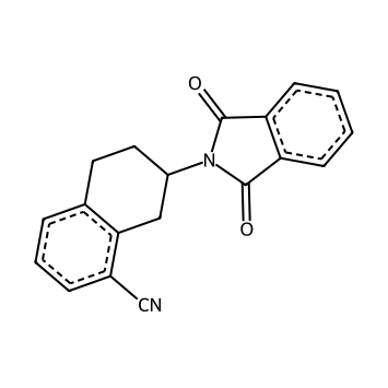 N#Cc1cccc2c1CC(N1C(=O)c3ccccc3C1=O)CC2